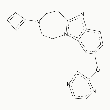 C1=CC(N2CCc3nc4ccc(Oc5cnccn5)cc4n3CC2)=C1